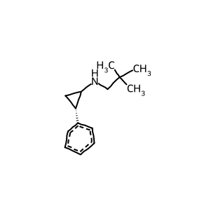 CC(C)(C)CNC1C[C@H]1c1ccccc1